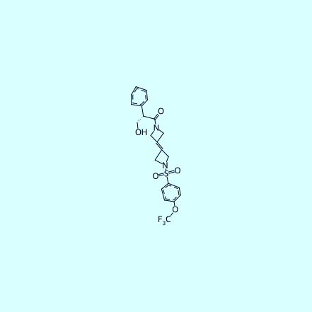 O=C([C@H](CO)c1ccccc1)N1CC(=C2CN(S(=O)(=O)c3ccc(OC(F)(F)F)cc3)C2)C1